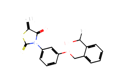 C=C1SC(=S)N(c2cccc(OCc3ccccc3C(O)CC)c2)C1=O